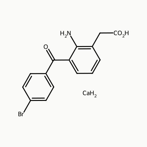 Nc1c(CC(=O)O)cccc1C(=O)c1ccc(Br)cc1.[CaH2]